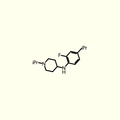 CC(C)c1ccc(NC2CCN(C(C)C)CC2)c(F)c1